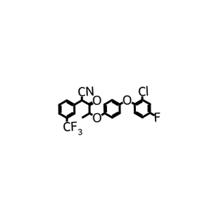 CC(Oc1ccc(Oc2ccc(F)cc2Cl)cc1)C(=O)C(C#N)c1cccc(C(F)(F)F)c1